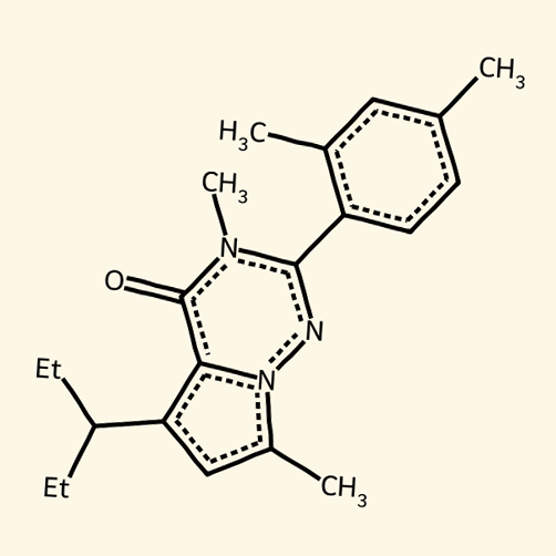 CCC(CC)c1cc(C)n2nc(-c3ccc(C)cc3C)n(C)c(=O)c12